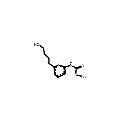 CC(C)(C)OC(=O)Nc1cccc(CCCCO)n1